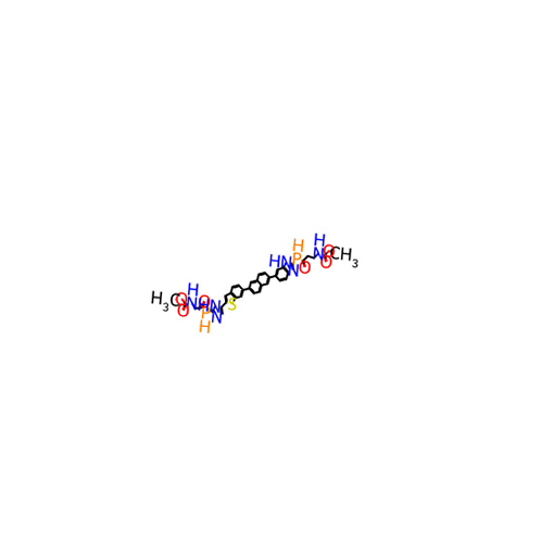 COC(=O)NCCC(=O)Pc1nc2ccc(-c3ccc4cc(-c5ccc6cc(-c7cnc(PC(=O)CNC(=O)OC)[nH]7)sc6c5)ccc4c3)cc2[nH]1